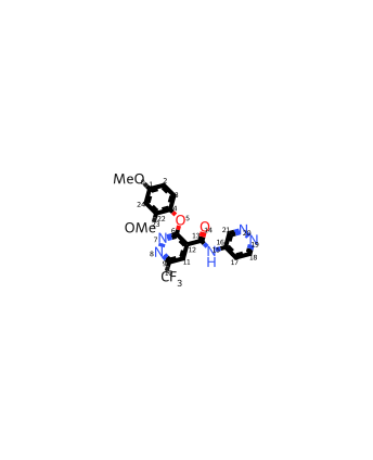 COc1ccc(Oc2nnc(C(F)(F)F)cc2C(=O)Nc2ccnnc2)c(OC)c1